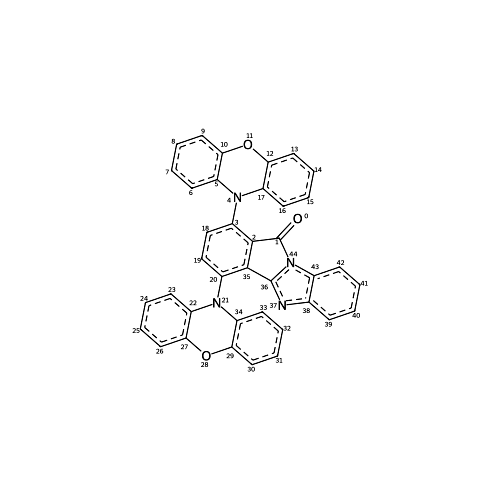 O=C1c2c(N3c4ccccc4Oc4ccccc43)ccc(N3c4ccccc4Oc4ccccc43)c2-c2nc3ccccc3n21